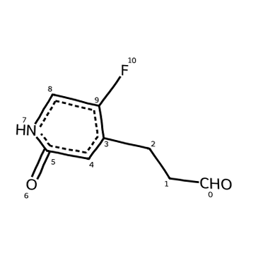 O=CCCc1cc(=O)[nH]cc1F